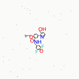 COc1c(F)cc(CNC(=O)c2cc(-c3ncccc3CO)ccc2OCC2CC2)cc1F